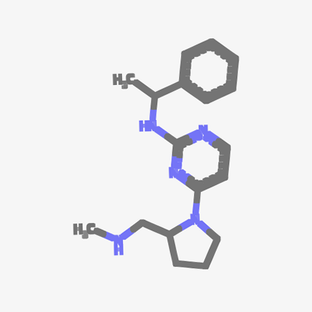 CNCC1CCCN1c1ccnc(NC(C)c2ccccc2)n1